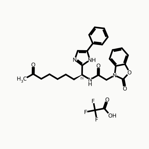 CC(=O)CCCCC[C@H](NC(=O)Cn1c(=O)oc2ccccc21)c1ncc(-c2ccccc2)[nH]1.O=C(O)C(F)(F)F